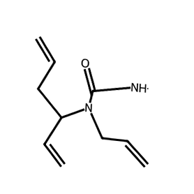 C=CCC(C=C)N(CC=C)C([NH])=O